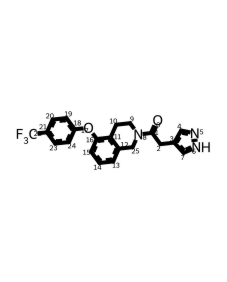 O=C(Cc1cn[nH]c1)N1CCc2c(cccc2Oc2ccc(C(F)(F)F)cc2)C1